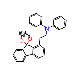 COC1(OC)c2ccccc2-c2cccc(CCN(c3ccccc3)c3ccccc3)c21